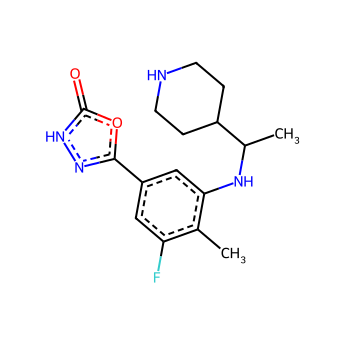 Cc1c(F)cc(-c2n[nH]c(=O)o2)cc1NC(C)C1CCNCC1